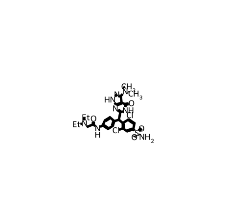 CCN(CC)CC(=O)Nc1ccc(C(c2nc3[nH]nc(N(C)C)c3c(=O)[nH]2)c2c(Cl)cc(S(N)(=O)=O)cc2Cl)cc1